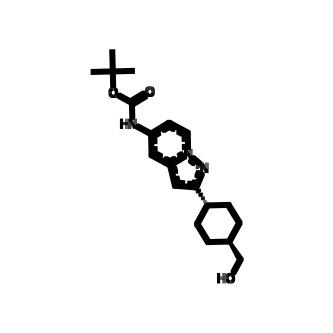 CC(C)(C)OC(=O)Nc1ccn2nc([C@H]3CC[C@H](CO)CC3)cc2c1